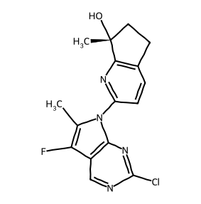 Cc1c(F)c2cnc(Cl)nc2n1-c1ccc2c(n1)[C@](C)(O)CC2